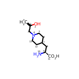 C=C(O)CN1CCC(C[C@H](N)C(=O)O)CC1